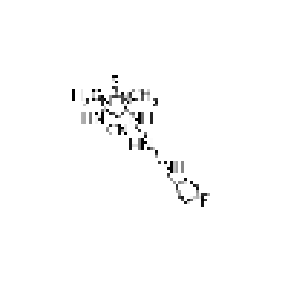 Cn1c(NCCNCCNCc2ccc(F)cc2)c(C#N)c(=N)n(C)c1=S